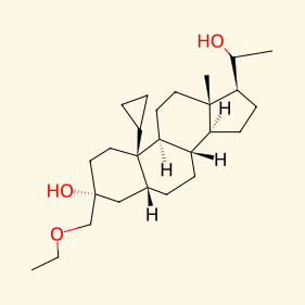 CCOC[C@@]1(O)CC[C@@]2(C3CC3)[C@H](CC[C@H]3[C@@H]4CC[C@H](C(C)O)[C@@]4(C)CC[C@@H]32)C1